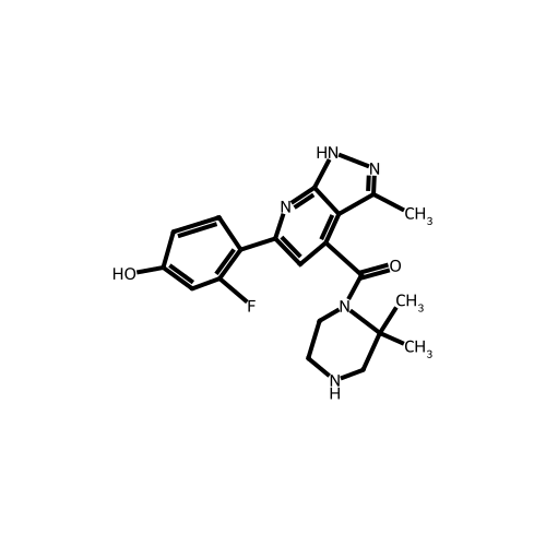 Cc1n[nH]c2nc(-c3ccc(O)cc3F)cc(C(=O)N3CCNCC3(C)C)c12